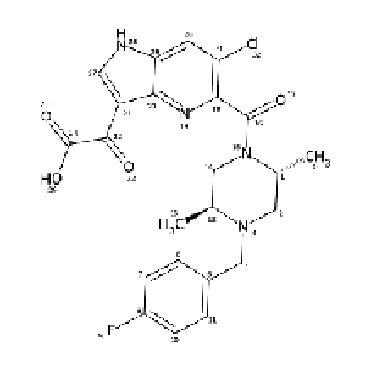 C[C@@H]1CN(Cc2ccc(F)cc2)[C@@H](C)CN1C(=O)c1nc2c(C(=O)C(=O)O)c[nH]c2cc1Cl